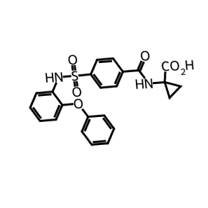 O=C(NC1(C(=O)O)CC1)c1ccc(S(=O)(=O)Nc2ccccc2Oc2ccccc2)cc1